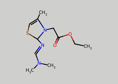 CCOC(=O)CN1C(C)=CSC1N=CN(C)C